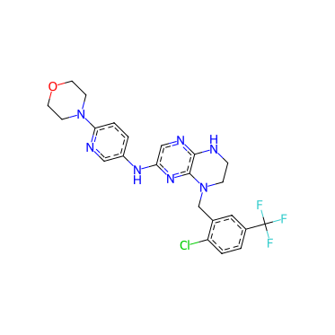 FC(F)(F)c1ccc(Cl)c(CN2CCNc3ncc(Nc4ccc(N5CCOCC5)nc4)nc32)c1